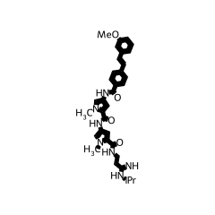 COc1cccc(/C=C/c2ccc(C(=O)Nc3cc(C(=O)Nc4cc(C(=O)NCCC(=N)NC(C)C)n(C)c4)n(C)c3)cc2)c1